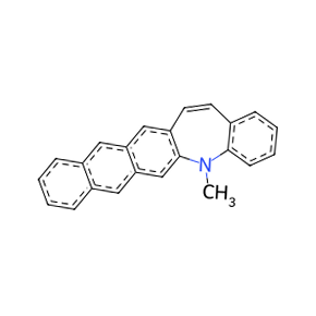 CN1c2ccccc2C=Cc2cc3cc4ccccc4cc3cc21